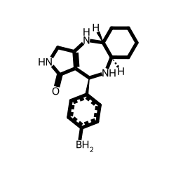 Bc1ccc([C@@H]2N[C@@H]3CCCC[C@H]3NC3=C2C(=O)NC3)cc1